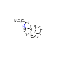 CCOC(=O)c1ccc2c(-c3ccccc3)c(OC)ccc2n1